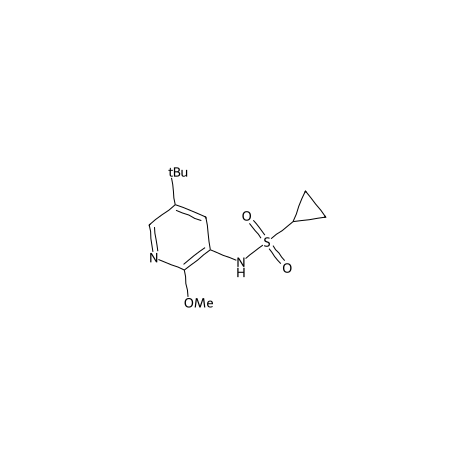 COc1ncc(C(C)(C)C)cc1NS(=O)(=O)C1CC1